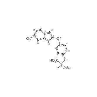 CCCCC(C)(Oc1ccc(Oc2nc3ccc(Cl)nc3s2)cc1)C(=O)O